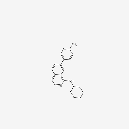 Cc1ccc(-c2ccc3ncnc(NC4CCCCC4)c3c2)cn1